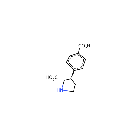 O=C(O)c1ccc([C@H]2CCN[C@@H]2C(=O)O)cc1